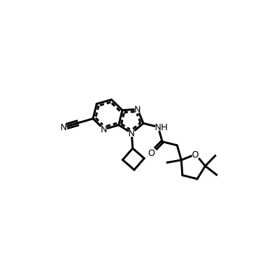 CC1(C)CCC(C)(CC(=O)Nc2nc3ccc(C#N)nc3n2C2CCC2)O1